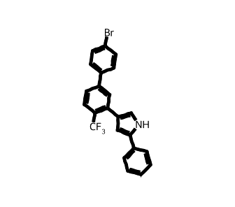 FC(F)(F)c1ccc(-c2ccc(Br)cc2)cc1-c1c[nH]c(-c2cc[c]cc2)c1